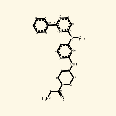 CN(c1ccnc(NC2CCN(C(=O)CN)CC2)n1)c1ccnc(-c2ccccc2)n1